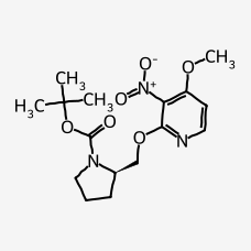 COc1ccnc(OC[C@H]2CCCN2C(=O)OC(C)(C)C)c1[N+](=O)[O-]